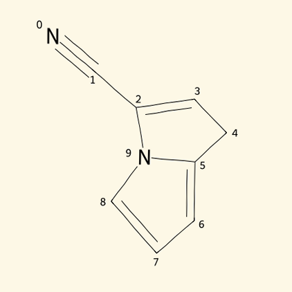 N#CC1=CCc2cccn21